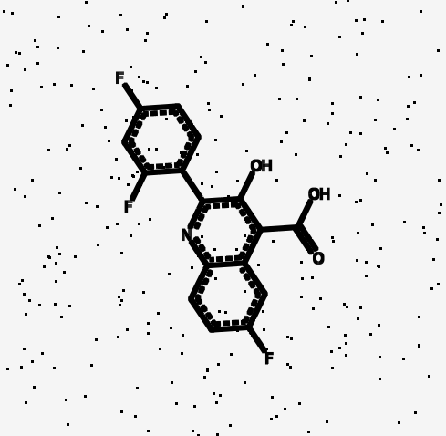 O=C(O)c1c(O)c(-c2ccc(F)cc2F)nc2ccc(F)cc12